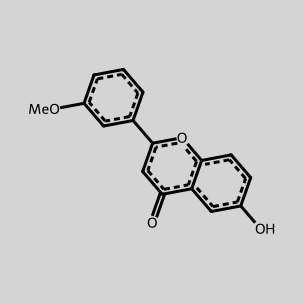 COc1cccc(-c2cc(=O)c3cc(O)ccc3o2)c1